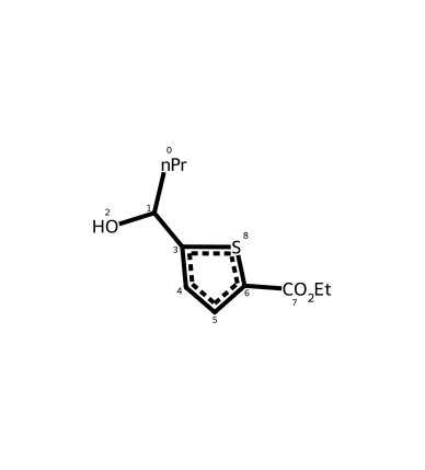 CCCC(O)c1ccc(C(=O)OCC)s1